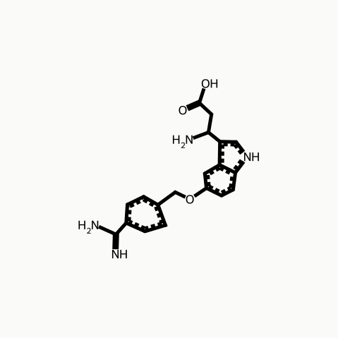 N=C(N)c1ccc(COc2ccc3[nH]cc(C(N)CC(=O)O)c3c2)cc1